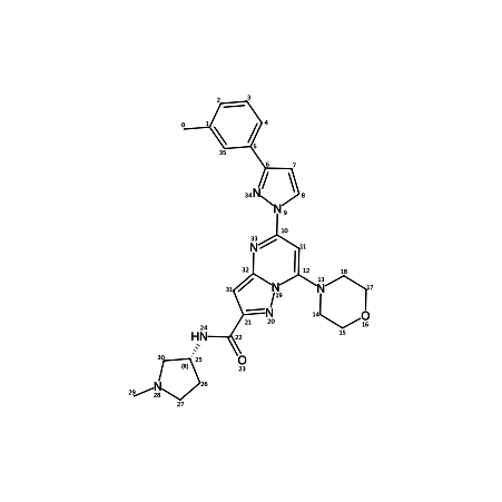 Cc1cccc(-c2ccn(-c3cc(N4CCOCC4)n4nc(C(=O)N[C@@H]5CCN(C)C5)cc4n3)n2)c1